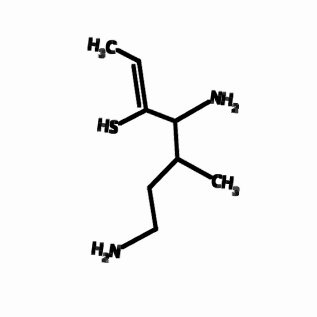 C/C=C(\S)C(N)C(C)CCN